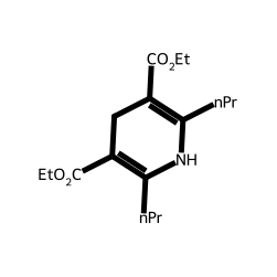 CCCC1=C(C(=O)OCC)CC(C(=O)OCC)=C(CCC)N1